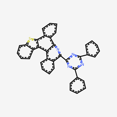 c1ccc(-c2nc(-c3ccccc3)nc(-c3nc4c5ccccc5c5sc6ccccc6c5c4c4ccccc34)n2)cc1